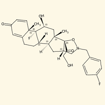 C[C@]12C=CC(=O)C=C1CC[C@H]1[C@@H]3C[C@H]4CN(Cc5ccc(F)cc5)O[C@@]4(C(=O)CO)[C@@]3(C)C[C@H](O)[C@@]12F